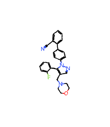 N#Cc1ccccc1-c1ccc(-n2ncc(CN3CCOCC3)c2-c2ccccc2F)cc1